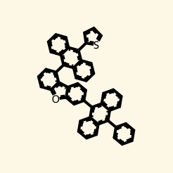 c1ccc(-c2c3ccccc3c(-c3ccc4c(c3)oc3cccc(-c5c6ccccc6c(-c6cccs6)c6ccccc56)c34)c3ccccc23)cc1